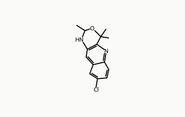 CC1Nc2cc3cc(Cl)ccc3nc2C(C)(C)O1